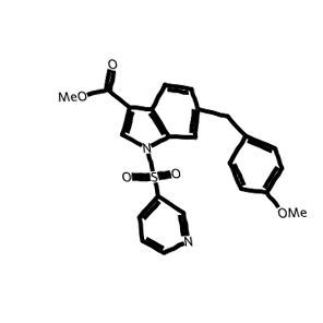 COC(=O)c1cn(S(=O)(=O)c2cccnc2)c2cc(Cc3ccc(OC)cc3)ccc12